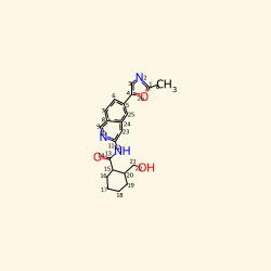 Cc1ncc(-c2ccc3cnc(NC(=O)C4CCCCC4CO)cc3c2)o1